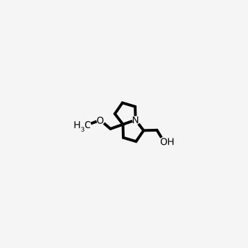 COCC12CCCN1C(CO)CC2